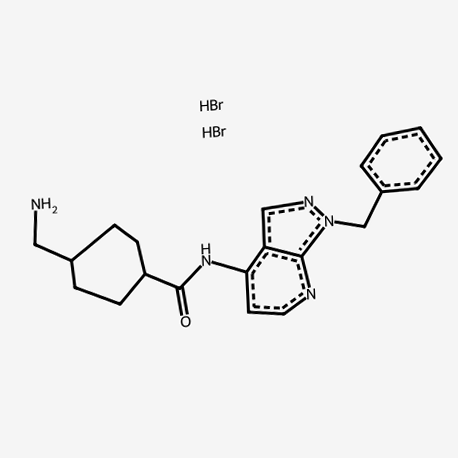 Br.Br.NCC1CCC(C(=O)Nc2ccnc3c2cnn3Cc2ccccc2)CC1